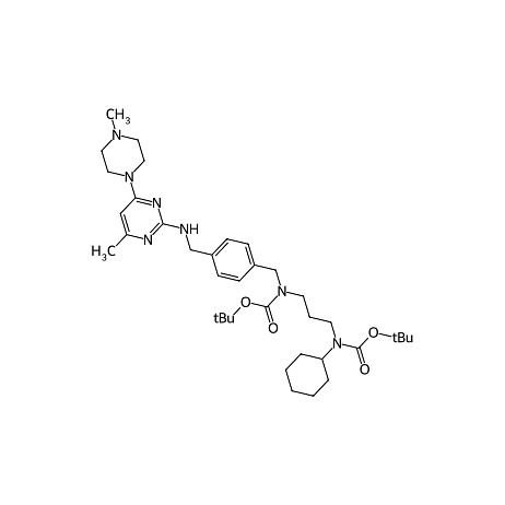 Cc1cc(N2CCN(C)CC2)nc(NCc2ccc(CN(CCCN(C(=O)OC(C)(C)C)C3CCCCC3)C(=O)OC(C)(C)C)cc2)n1